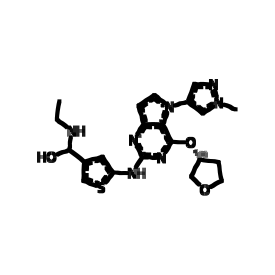 CCNC(O)c1csc(Nc2nc(O[C@@H]3CCOC3)c3c(ccn3-c3cnn(C)c3)n2)c1